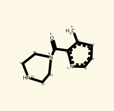 Cc1cccnc1C(=O)N1CCNCC1